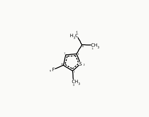 Cc1sc(C(C)C)cc1F